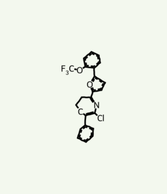 FC(F)(F)Oc1ccccc1-c1ccc(C2=NC(Cl)=C(c3ccccc3)CCC2)o1